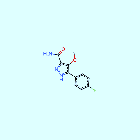 COc1c(C(N)=O)n[nH]c1-c1ccc(F)cc1